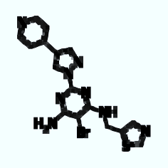 Nc1nc(-n2cc(-c3ccncc3)cn2)nc(NCc2cncs2)c1Br